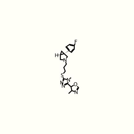 CC1N=COC1c1nnc(SCCCN2C[C@H]3C[C@@]3(c3ccc(F)cc3)C2)n1C